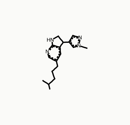 CC(C)CCCc1cnc2c(c1)C(c1cnn(C)c1)CN2